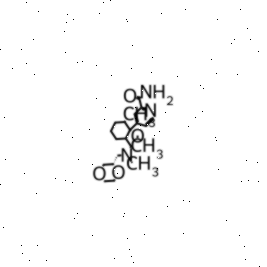 COC1(c2ccnc(C(N)=O)c2)C(C)CCCC1CN(C)C[C@H]1COCCO1